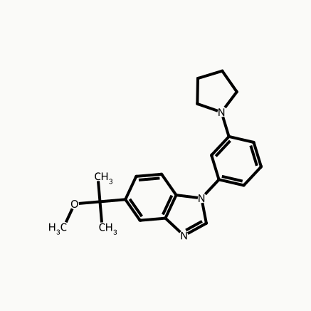 COC(C)(C)c1ccc2c(c1)ncn2-c1cccc(N2CCCC2)c1